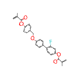 C=C(C)C(=O)Oc1ccc(COc2ccc(-c3ccc(OC(=O)C(=C)C)cc3F)cc2)cc1